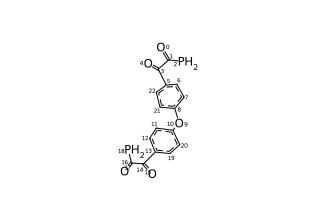 O=C(P)C(=O)c1ccc(Oc2ccc(C(=O)C(=O)P)cc2)cc1